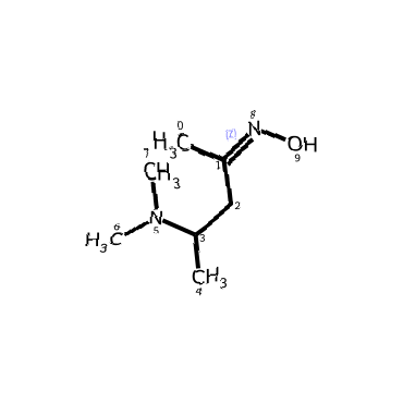 C/C(CC(C)N(C)C)=N/O